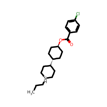 CCC[SiH]1CCC([C@H]2CC[C@H](OC(=O)c3ccc(Cl)cc3)CC2)CC1